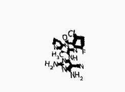 CC[C@H](Nc1nc(N)nc(N)c1C#N)c1nc2c(F)ccc(Cl)c2c(=O)n1-c1cccnc1